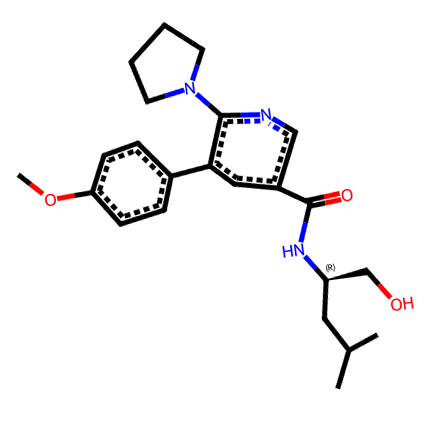 COc1ccc(-c2cc(C(=O)N[C@@H](CO)CC(C)C)cnc2N2CCCC2)cc1